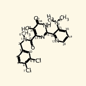 CN(Cc1ccc(Cl)c(Cl)c1)C(=O)c1nc(-c2ncccc2N(C)C)[nH]c(=O)c1O